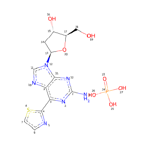 Nc1nc(-c2nccs2)c2ncn([C@H]3C[C@H](O)[C@@H](CO)O3)c2n1.O=P(O)(O)O